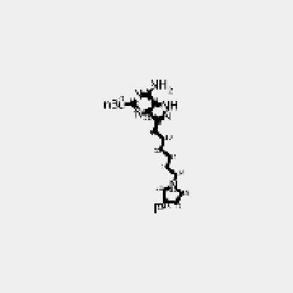 CCCCc1nc(N)c2[nH]nc(CCCCCCN3CC[C@@H](F)C3)c2n1